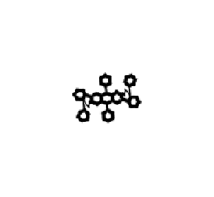 c1ccc(-c2c3cc4c5ccccc5n(-c5ccccc5)c4cc3c(-c3ccccc3)c3cc4c5ccccc5n(-c5ccccc5)c4cc23)cc1